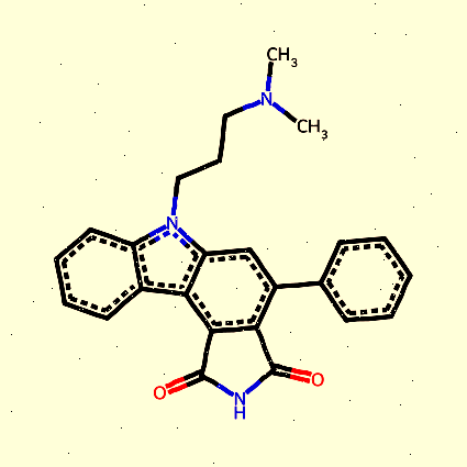 CN(C)CCCn1c2ccccc2c2c3c(c(-c4ccccc4)cc21)C(=O)NC3=O